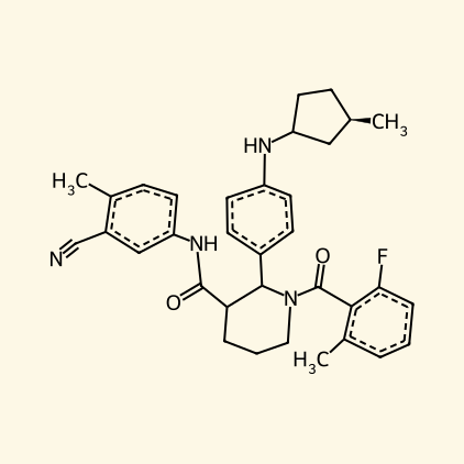 Cc1ccc(NC(=O)C2CCCN(C(=O)c3c(C)cccc3F)C2c2ccc(NC3CC[C@@H](C)C3)cc2)cc1C#N